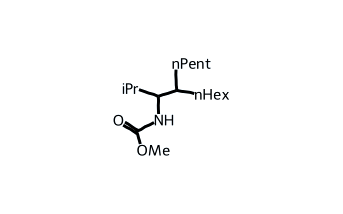 CCCCCCC(CCCCC)C(NC(=O)OC)C(C)C